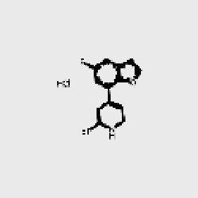 CCC1CC(c2cc(F)cc3ccoc23)=CCN1.Cl